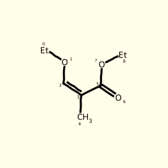 CCOC=C(C)C(=O)OCC